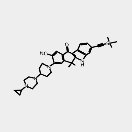 CC1(C)c2cc(N3CCC(N4CCN(C5CC5)CC4)CC3)c(C#N)cc2C(=O)c2c1[nH]c1cc(C#C[Si](C)(C)C)ccc21